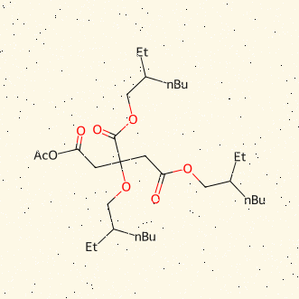 CCCCC(CC)COC(=O)CC(CC(=O)OC(C)=O)(OCC(CC)CCCC)C(=O)OCC(CC)CCCC